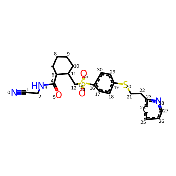 N#CCNC(=O)C1CCCCC1CS(=O)(=O)c1ccc(SCCc2ccccn2)cc1